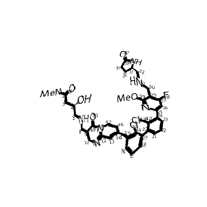 CNC(=O)C[C@H](O)CNCc1cnc2cc(-c3cccc(-c4cccc(-c5cc(F)c(CNC[C@H]6CCC(=O)N6)c(OC)n5)c4Cl)c3Cl)ccn2c1=O